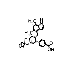 Cc1cc(C)c2[nH]ccc2c1C[C@@H]1CCN(CC2(F)COC2)C[C@H]1c1ccc(C(=O)O)cc1